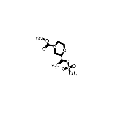 C=C(OS(C)(=O)=O)[C@@H]1CN(C(=O)OC(C)(C)C)CCO1